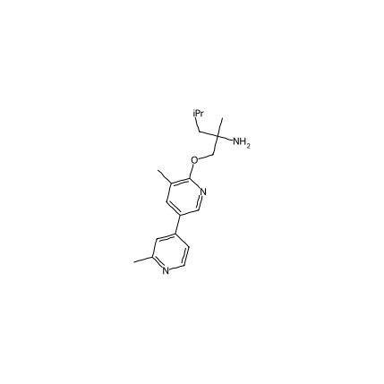 Cc1cc(-c2cnc(OCC(C)(N)CC(C)C)c(C)c2)ccn1